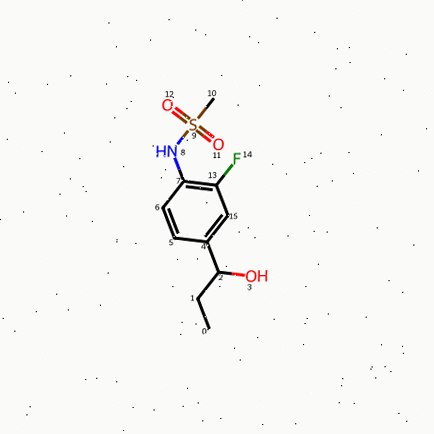 CCC(O)c1ccc(NS(C)(=O)=O)c(F)c1